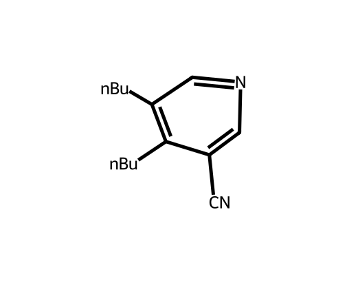 CCCCc1cncc(C#N)c1CCCC